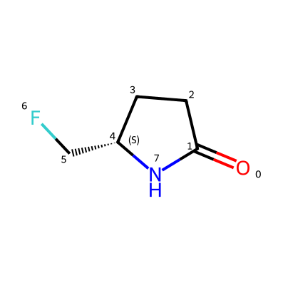 O=C1CC[C@@H](CF)N1